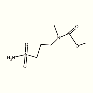 COC(=O)N(C)CCCS(N)(=O)=O